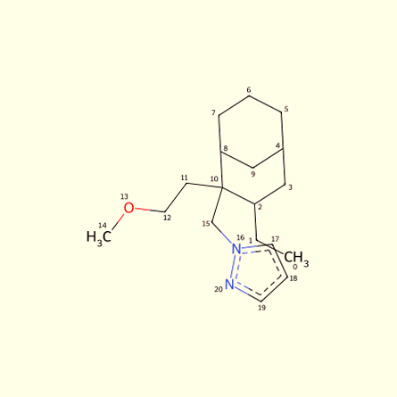 CCC1CC2CCCC(C2)C1(CCOC)Cn1cccn1